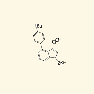 CC(C)(C)c1ccc(-c2cccc3c2C=C[CH]3[Zr+2])cc1.[Cl-].[Cl-]